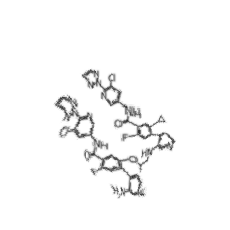 CC(CNc1cnccc1-c1cc(F)c(C(=O)Nc2cnc(-n3nccn3)c(Cl)c2)cc1C1CC1)Oc1cc(C(=O)Nc2cnc(-n3nccn3)c(Cl)c2)c(F)cc1-c1ccncc1N